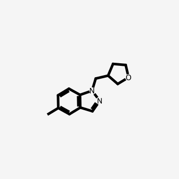 Cc1ccc2c(cnn2CC2CCOC2)c1